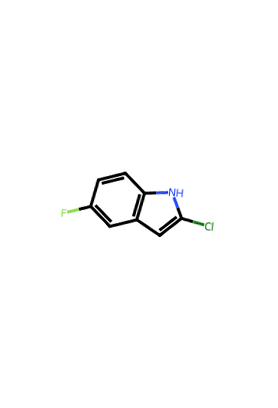 Fc1ccc2[nH]c(Cl)cc2c1